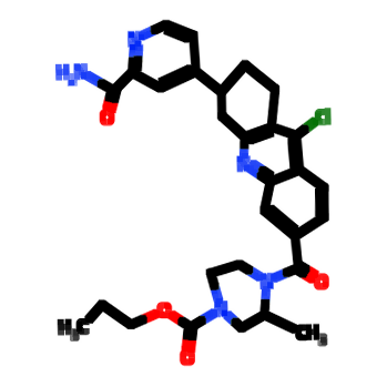 CCCOC(=O)N1CCN(C(=O)c2ccc3c(Cl)c4c(nc3c2)CC(c2ccnc(C(N)=O)c2)CC4)C(C)C1